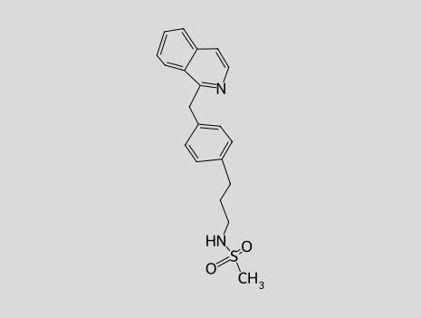 CS(=O)(=O)NCCCc1ccc(Cc2nccc3ccccc23)cc1